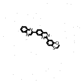 c1ccc2nc(-c3ccc4cnc(-c5ccc6c(c5)OCCS6)nc4c3)cnc2c1